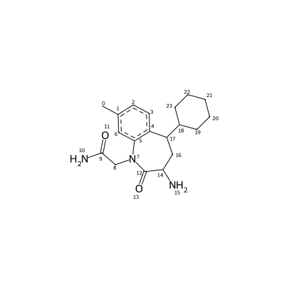 Cc1ccc2c(c1)N(CC(N)=O)C(=O)C(N)CC2C1CCCCC1